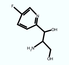 NC(CO)C(O)c1ccc(F)cn1